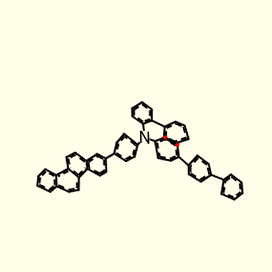 c1ccc(-c2ccc(-c3ccc(N(c4ccc(-c5ccc6c(ccc7c8ccccc8ccc67)c5)cc4)c4ccccc4-c4ccccc4)cc3)cc2)cc1